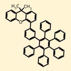 CC1(C)c2ccccc2Oc2c(-c3cccc(-c4c(-c5ccccc5)c(-c5ccccc5)c(-c5ccccc5)c(-c5ccccc5)c4-c4ccccc4)c3)cccc21